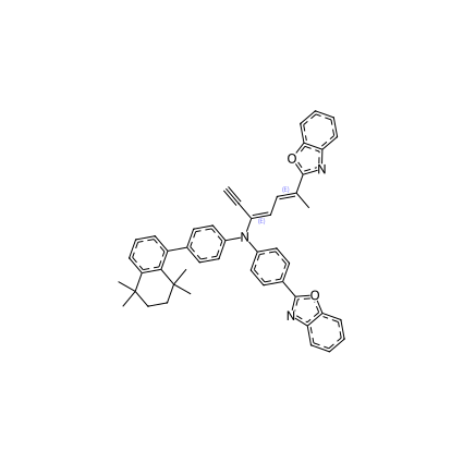 C#C/C(=C\C=C(/C)c1nc2ccccc2o1)N(c1ccc(-c2nc3ccccc3o2)cc1)c1ccc(-c2cccc3c2C(C)(C)CCC3(C)C)cc1